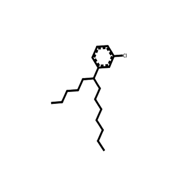 CCCCCCCC(CCCCC)c1cccc(Cl)c1